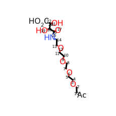 CC(=O)CCOCCOCCOCCOCCNC(=O)C(O)C(O)C(=O)O